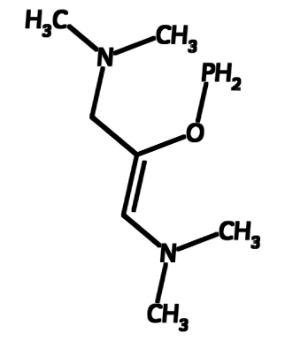 CN(C)/C=C(/CN(C)C)OP